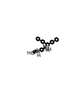 CC(C)(O)C(C)(C)OBc1ccc(C(=N)/N=c2\[nH]cc(-c3ccc(-c4ccccc4)cc3)cc2-c2ccc(-c3ccccc3)cc2)cc1